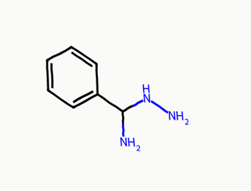 NNC(N)c1ccccc1